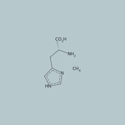 C.N[C@H](Cc1c[nH]cn1)C(=O)O